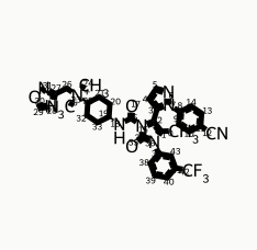 Cc1c(-c2ccnn2-c2ccc(C#N)cc2)n(C(=O)N[C@H]2CC[C@H]([N+](C)(C)Cc3ncon3)CC2)c(=O)n1-c1cccc(C(F)(F)F)c1